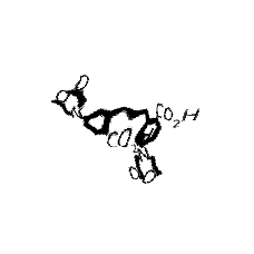 O=C(O)c1ccc(N(CC2CO2)CC2CO2)cc1CCCc1cc(N(CC2CO2)CC2CO2)ccc1C(=O)O